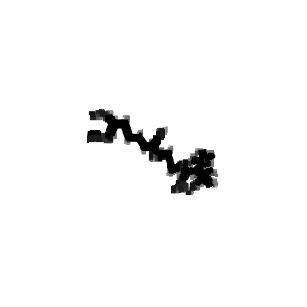 CCCC(CCCCC(=O)NCCNC(=O)C(C(C)(C)C(=O)O)P(C)(C)(C)C)SC